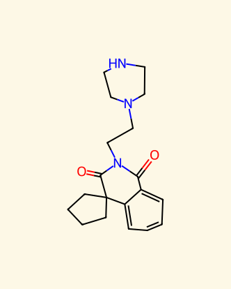 O=C1c2ccccc2C2(CCCC2)C(=O)N1CCN1CCNCC1